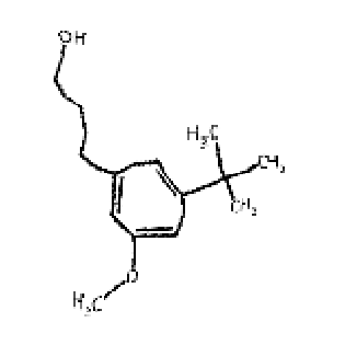 COc1cc(CCCO)cc(C(C)(C)C)c1